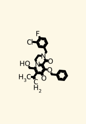 C=C(C)c1c(CO)n2c(c(OCc3ccccc3)c1=O)C(=O)N(Cc1ccc(F)c(Cl)c1)CC2